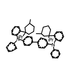 CC1CCCC(c2ccccc2N(c2ccccc2)c2ccc(-c3ccc(N(c4ccccc4)c4ccccc4C4(C(C)C)CCCC(C)C4)cc3)cc2)(C(C)C)C1